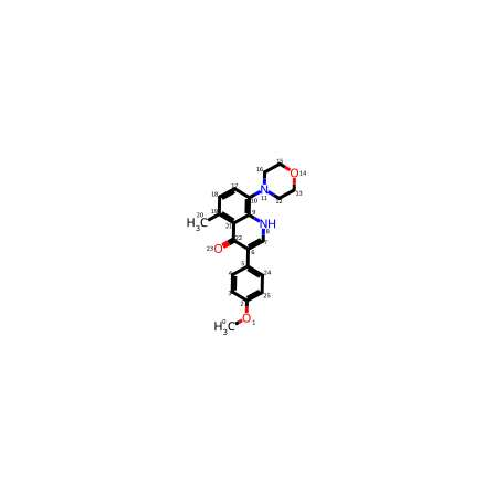 COc1ccc(-c2c[nH]c3c(N4CCOCC4)ccc(C)c3c2=O)cc1